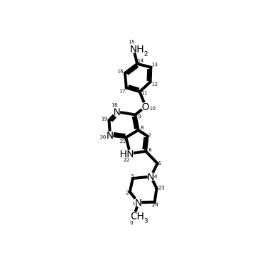 CN1CCN(Cc2cc3c(Oc4ccc(N)cc4)ncnc3[nH]2)CC1